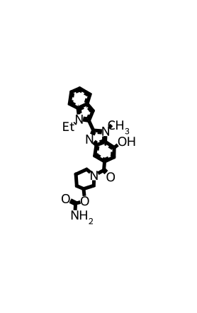 CCn1c(-c2nc3cc(C(=O)N4CCCC(OC(N)=O)C4)cc(O)c3n2C)cc2ccccc21